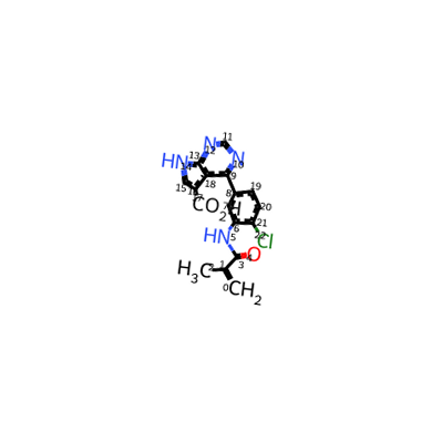 C=C(C)C(=O)Nc1cc(-c2ncnc3[nH]cc(C(=O)O)c23)ccc1Cl